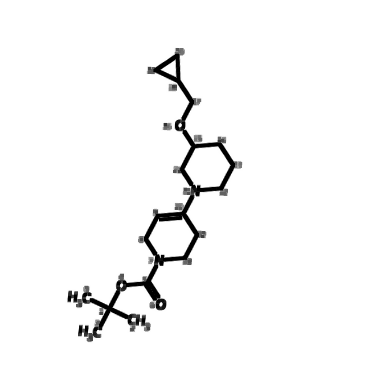 CC(C)(C)OC(=O)N1CC=C(N2CCCC(OCC3CC3)C2)CC1